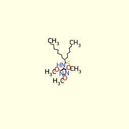 CCCCCCCCC(CCCCCC)C(=S)Nc1c(OC)nc(OC)nc1OC